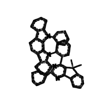 CC1(C)c2ccccc2-c2nc(-c3ccccc3)nc(-c3ccccc3-n3c4ccccc4c4ccc5c6ccccc6n(-c6ccccc6)c5c43)c21